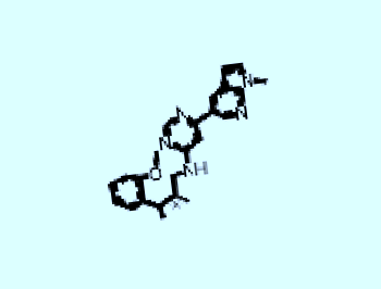 COc1ccccc1C(C)[C@H](C)CNc1cc(-c2cnc3c(ccn3C)c2)ncn1